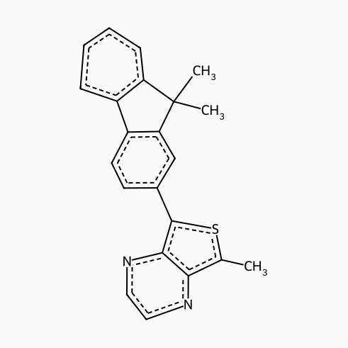 Cc1sc(-c2ccc3c(c2)C(C)(C)c2ccccc2-3)c2nccnc12